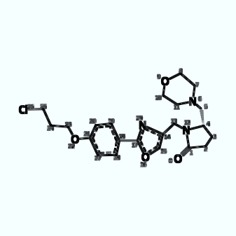 O=C1CC[C@@H](CN2CCOCC2)N1Cc1coc(-c2ccc(OCCCCl)cc2)n1